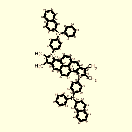 Cc1c(C)n(-c2ccc(N(c3ccccc3)c3ccc4ccccc4c3)cc2)c2c1cc1ccc3c4c(ccc2c14)cc1c(C)c(C)n(-c2ccc(N(c4ccccc4)c4ccc5ccccc5c4)cc2)c13